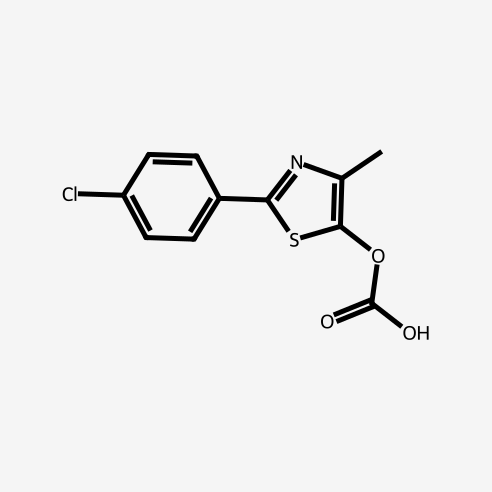 Cc1nc(-c2ccc(Cl)cc2)sc1OC(=O)O